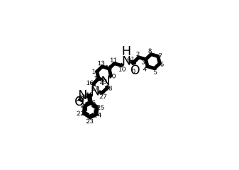 O=C(CC1CCCCC1)NCCC1CCC2CN(c3noc4ccccc34)CCN2C1